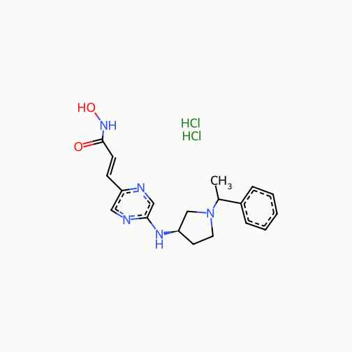 CC(c1ccccc1)N1CC[C@@H](Nc2cnc(C=CC(=O)NO)cn2)C1.Cl.Cl